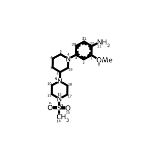 COc1cc(N2CCCC(N3CCN(S(C)(=O)=O)CC3)C2)ccc1N